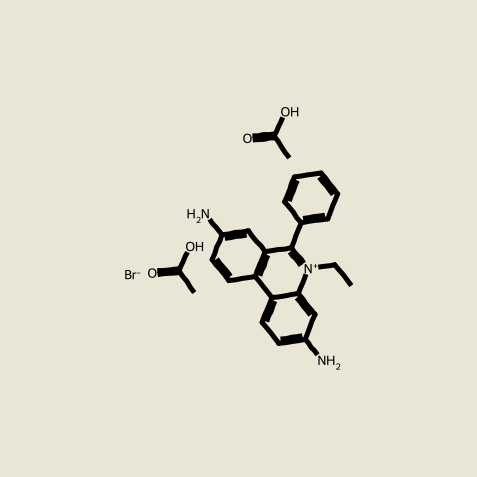 CC(=O)O.CC(=O)O.CC[n+]1c(-c2ccccc2)c2cc(N)ccc2c2ccc(N)cc21.[Br-]